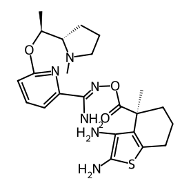 C[C@H](Oc1cccc(/C(N)=N/OC(=O)[C@@]2(C)CCCc3sc(N)c(N)c32)n1)[C@@H]1CCCN1C